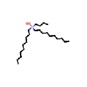 CCCCCCCCCC[N+](O)(CCCC)CCCCCCCCCC